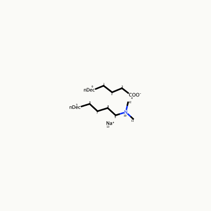 CCCCCCCCCCCCCC(=O)[O-].CCCCCCCCCCCCCCN(C)C.[Na+]